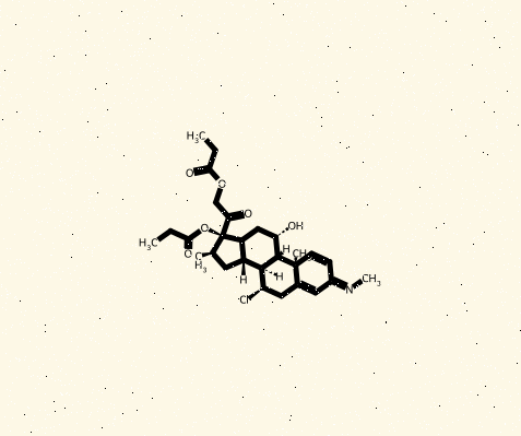 CCC(=O)OCC(=O)[C@]1(OC(=O)CC)C2C[C@H](O)[C@H]3[C@@H]([C@H](Cl)CC4=C/C(=N/C)C=C[C@@]43C)[C@@H]2C[C@H]1C